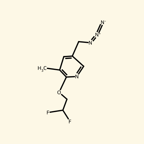 Cc1cc(CN=[N+]=[N-])cnc1OCC(F)F